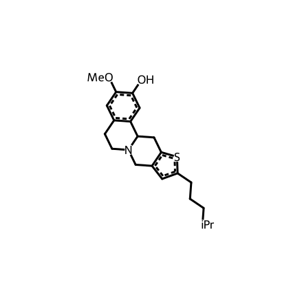 COc1cc2c(cc1O)C1Cc3sc(CCCC(C)C)cc3CN1CC2